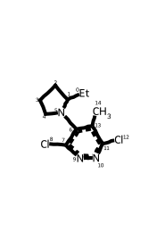 CCC1CCCN1c1c(Cl)nnc(Cl)c1C